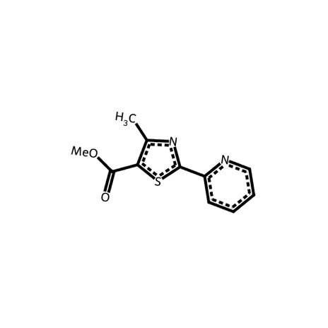 COC(=O)c1sc(-c2ccccn2)nc1C